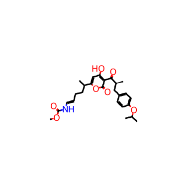 COC(=O)N/C=C/CCC(C)c1cc(O)c(C(=O)[C@@H](C)Cc2ccc(OC(C)C)cc2)c(=O)o1